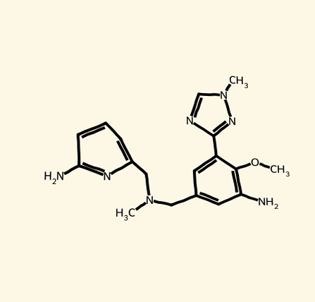 COc1c(N)cc(CN(C)Cc2cccc(N)n2)cc1-c1ncn(C)n1